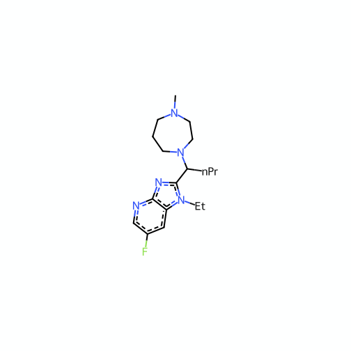 CCCC(c1nc2ncc(F)cc2n1CC)N1CCCN(C)CC1